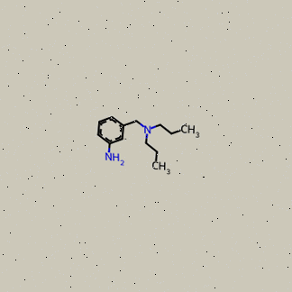 CCCN(CCC)Cc1[c]c(N)ccc1